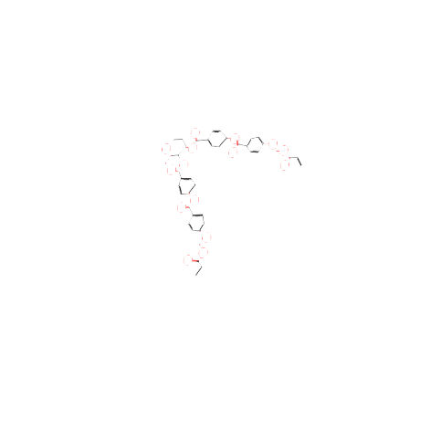 C=CC(=O)OCOc1ccc(C(=O)Oc2ccc(C(=O)OC3CCOC4COC(c5ccc(OC(=O)c6ccc(OCOC(=O)C=C)cc6)cc5)OC43)cc2)cc1